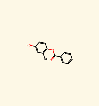 O=C(Oc1ccc(O)cc1[N+](=O)[O-])c1ccccc1